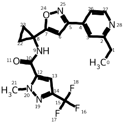 CCc1cc(-c2cc(C3(NC(=O)c4cc(C(F)(F)F)nn4C)CC3)on2)ccn1